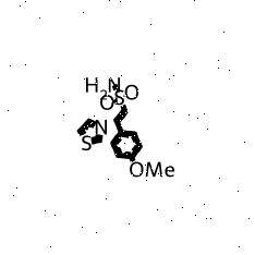 COc1ccc(C=CS(N)(=O)=O)cc1.c1cscn1